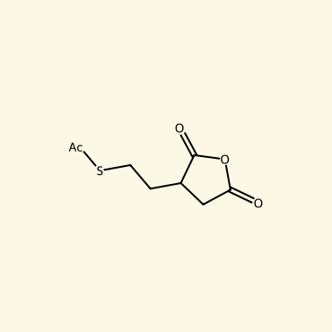 CC(=O)SCCC1CC(=O)OC1=O